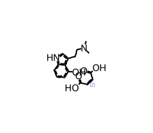 CN(C)CCc1c[nH]c2cccc(O)c12.O=C(O)/C=C\C(=O)O